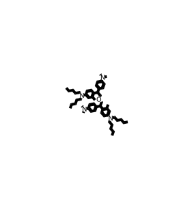 CCCCCN(CCCCC)c1ccc(C(COCC(c2ccc(N(C)C)cc2)c2ccc(N(CCCCC)CCCCC)cc2C)c2ccc(N(C)C)cc2)c(C)c1